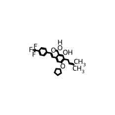 CC(C)=CCc1c(OC2CCCC2)cc(C=Cc2ccc(C(F)(F)F)cc2)c(C(=O)O)c1O